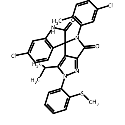 CSc1ccccc1-n1nc2c(c1C(C)C)C1(C(=O)Nc3cc(Cl)ccc31)N(c1cc(Cl)ccc1C)C2=O